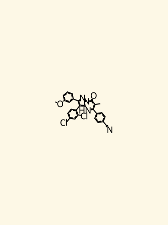 COc1cccc(-c2nn3c(=O)c(C)c(-c4ccc(C#N)cc4)[nH]c3c2-c2ccc(Cl)cc2Cl)c1